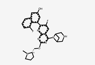 CN1CCC[C@H]1COc1nc(N2C3CNCC2C3)c2cc(F)c(-c3cc(O)cc4cccc(F)c34)nc2n1